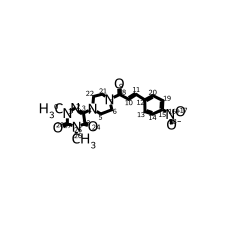 Cn1nc(N2CCN(C(=O)C=Cc3ccc([N+](=O)[O-])cc3)CC2)c(=O)n(C)c1=O